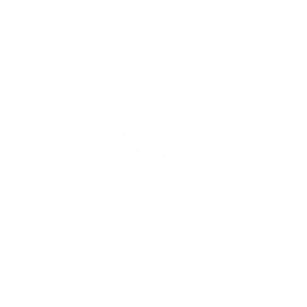 O=C1CCCC(=O)P1